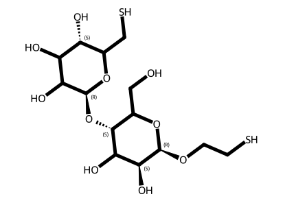 OCC1O[C@@H](OCCS)[C@@H](O)C(O)[C@@H]1O[C@@H]1OC(CS)[C@@H](O)C(O)C1O